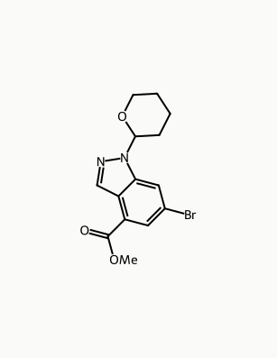 COC(=O)c1cc(Br)cc2c1cnn2C1CCCCO1